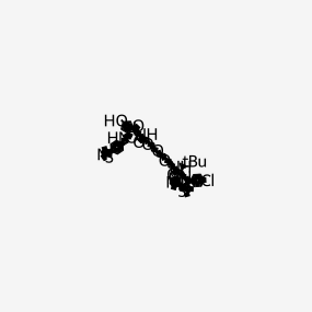 Cc1ncsc1-c1ccc(CNC(=O)[C@@H]2C[C@@H](O)CN2C(=O)CNC(=O)COCCOCCOCCNC(=O)[C@H](CCC(C)(C)C)[C@@H]2N=C(c3ccc(Cl)cc3)c3c(sc(C)c3C)-n3c(C)nnc32)cc1